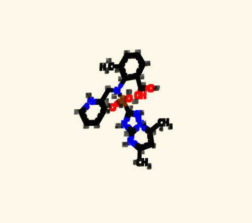 Cc1cc(C)n2nc(S(=O)(=O)N(Cc3ccccn3)c3c(C)cccc3C(=O)O)nc2n1